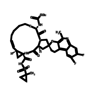 Cc1nc2cc(F)c(F)cc2c2c1O[C@]1(CC2)C[C@H]2C(=O)N[C@]3(C(=O)NS(=O)(=O)C4(C)CC4)C[C@H]3/C=C\CCCCC[C@H](NC(=O)OCC(C)C)C(=O)N2C1